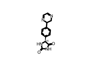 O=C1NC(=O)[C@H](c2ccc(C3CN=CC=N3)cc2)N1